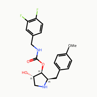 COc1ccc(C[C@H]2NC[C@H](O)[C@H]2OC(=O)NCc2ccc(F)c(F)c2)cc1